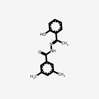 C/C(=N\NC(=O)c1cc(C)cc(C)c1)c1ccccc1O